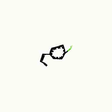 C/C=C\c1ccc(F)cc1